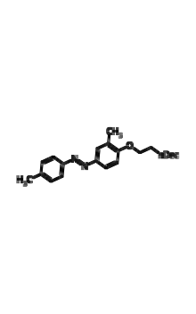 CCCCCCCCCCCCOc1ccc(N=Nc2ccc(C)cc2)cc1C